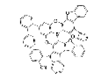 N#Cc1ccccc1-n1c2ccccc2c2c3c(oc4ccccc43)c3c(c21)Oc1cc(-c2ccccc2-c2ccccc2)cc2c1B3c1c(c3oc4ccccc4c3c3c1oc1ccccc13)O2